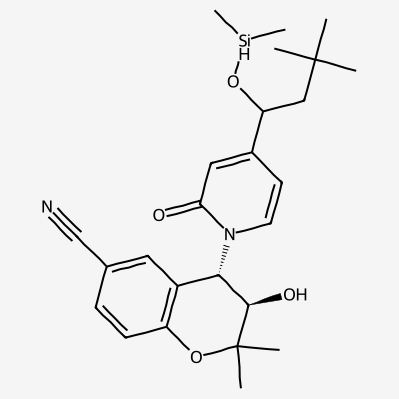 C[SiH](C)OC(CC(C)(C)C)c1ccn([C@H]2c3cc(C#N)ccc3OC(C)(C)[C@@H]2O)c(=O)c1